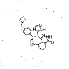 O=c1[nH]nc2c3c(cccc13)NOC(c1ccc(CN3CCC3)cc1)C2c1ncn[nH]1